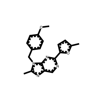 COc1ccc(Cn2c(C)nc3cnc(-c4ccc(C)o4)nc32)cc1